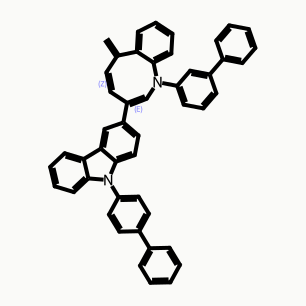 C=C1/C=C\C(c2ccc3c(c2)c2ccccc2n3-c2ccc(-c3ccccc3)cc2)=C/N(c2cccc(-c3ccccc3)c2)c2ccccc21